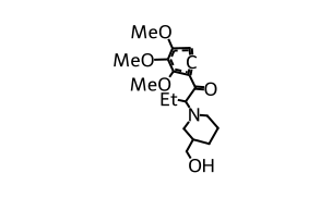 CCC(C(=O)c1ccc(OC)c(OC)c1OC)N1CCCC(CO)C1